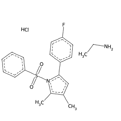 CCN.Cc1cc(-c2ccc(F)cc2)n(S(=O)(=O)c2ccccc2)c1C.Cl